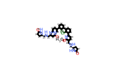 COc1nc(-c2cccc(-c3cccc(-c4ccc5nc(CNC[C@H]6CCC(=O)N6)cc(=O)n5c4)c3Cl)c2Cl)ccc1CNC[C@@H]1CCC(=O)N1